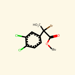 CCC(C)OC(=O)C(Br)(C(=O)O)c1ccc(Cl)c(Cl)c1